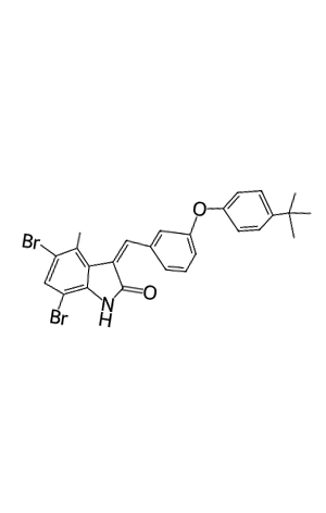 Cc1c(Br)cc(Br)c2c1C(=Cc1cccc(Oc3ccc(C(C)(C)C)cc3)c1)C(=O)N2